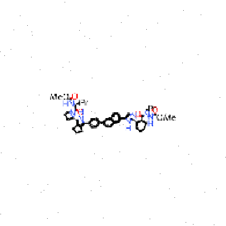 COC(=O)N[C@H](C(=O)N1CCC[C@H]1c1[nH]c(-c2ccc(-c3ccc4cc(-c5cnc([C@@H]6CCCC[C@@H]6C(=O)N(NC(=O)OC)C(C)C)[nH]5)ccc4c3)cc2)c2c1CCC2)C(C)C